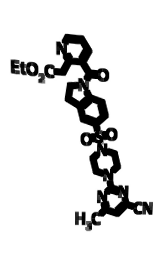 CCOC(=O)Cc1ncccc1C(=O)N1CCc2cc(S(=O)(=O)N3CCN(c4nc(C)cc(C#N)n4)CC3)ccc21